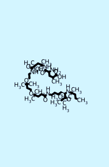 CCCC(C)(C)N[C@H](CCCCNC(=O)CCC(C)(C)OCCC(C)(C)OCCNC(=O)C(C)(C)CC(C)(C)NC(=O)C(N)CC(C)C(=O)O)C(=O)C(C)(C)C